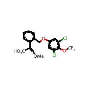 COC=C(C(=O)O)c1ccccc1COc1cc(Cl)c(OC(F)(F)F)c(Cl)c1